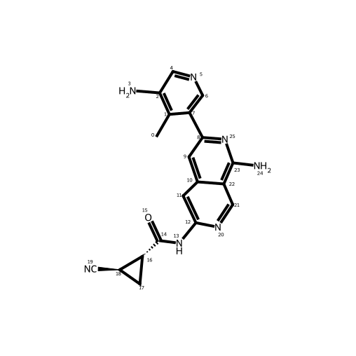 Cc1c(N)cncc1-c1cc2cc(NC(=O)[C@@H]3C[C@H]3C#N)ncc2c(N)n1